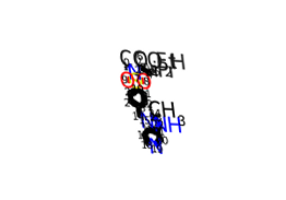 CCOC(=O)CN([C@@H](CC(C)C)C(=O)O)S(=O)(=O)c1ccc(CN2c3ccncc3NC2C)cc1